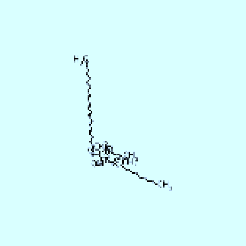 CCCCCCCCCC=CC=CC=CC=CC=CC=CC(=O)O[C@@H](CO)C(OP(=O)([O-])OCC[N+](C)(C)C)C(=O)CCCCCCCCCCCCCCC